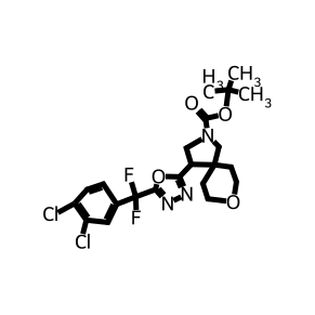 CC(C)(C)OC(=O)N1CC(c2nnc(C(F)(F)c3ccc(Cl)c(Cl)c3)o2)C2(CCOCC2)C1